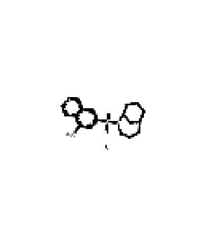 CC(=O)Oc1cc(S(=O)(=O)N2CCCC3CCCC2C3)cc2ccccc12.[CH2]